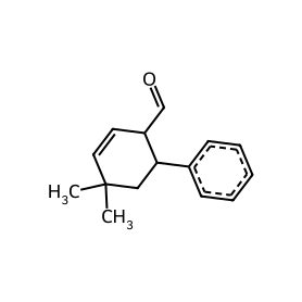 CC1(C)C=CC(C=O)C(c2ccccc2)C1